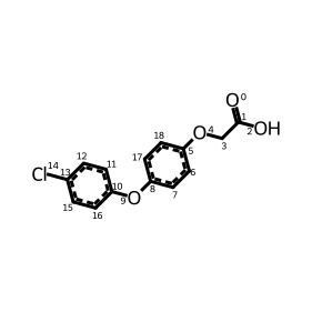 O=C(O)COc1ccc(Oc2ccc(Cl)cc2)cc1